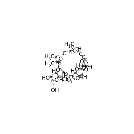 C=C1C[C@@H]2CC[C@@]34C[C@H]5OC6[C@@H](O[C@H]7CCC(CC(=O)O[C@H]8C(C[C@H]9OC(CC[C@@H]1O2)C[C@@H](C)C9=C)O[C@H]1C[C@@H](O)[C@@H](CCO)O[C@H]1[C@@H]8C)O[C@@H]7[C@@H]6O3)[C@H]5O4